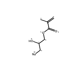 C=C(C)C(=O)OCC(O)[CH2][Na]